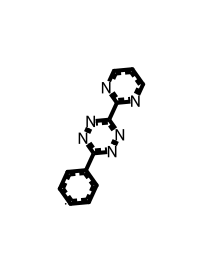 [c]1ccc(-c2nnc(-c3ncccn3)nn2)cc1